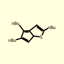 CCCCC1=[C]C2=C(CCCC)C(CCCC)=CC2S1